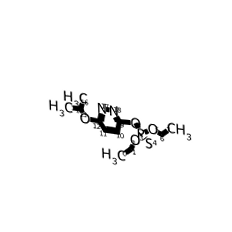 CCOP(=S)(OCC)Oc1ccc(OC(C)C)nn1